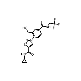 O=C(NCC(F)(F)F)c1ccc(-n2cc(C(=O)NC3CC3)nn2)c(CO)c1